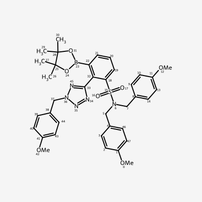 COc1ccc(CN(Cc2ccc(OC)cc2)S(=O)(=O)c2cccc(B3OC(C)(C)C(C)(C)O3)c2-c2nnn(Cc3ccc(OC)cc3)n2)cc1